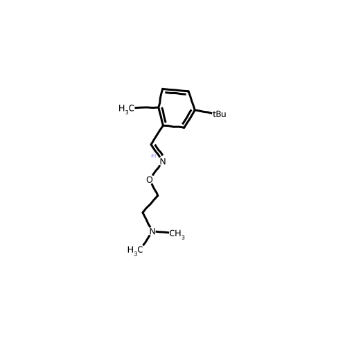 Cc1ccc(C(C)(C)C)cc1/C=N/OCCN(C)C